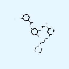 Cc1ccc(NC(=O)c2cccc(C(F)(F)F)c2)cc1NC(=O)N(C)c1cc(NCCCN2CCOCC2)ncn1